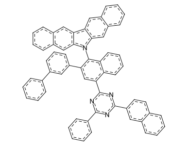 c1ccc(-c2cccc(-c3cc(-c4nc(-c5ccccc5)nc(-c5ccc6ccccc6c5)n4)c4ccccc4c3-n3c4cc5ccccc5cc4c4cc5ccccc5cc43)c2)cc1